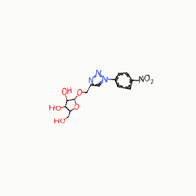 O=[N+]([O-])c1ccc(-n2cc(COC3OC(CO)C(O)C3O)nn2)cc1